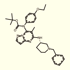 CCOc1ccc(N(C(=O)OC(C)(C)C)c2c(C)c(N[C@H]3CCCN(Cc4ccccc4)C3)nc3ccnn23)cc1